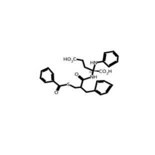 O=C(O)CC[C@@](NC(=O)C(CSC(=O)c1ccccc1)Cc1ccccc1)(Nc1ccccc1)C(=O)O